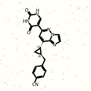 N#Cc1ccc(C[C@H]2C[C@@H]2c2cc(-c3c[nH]c(=O)[nH]c3=O)nn3ccnc23)cc1